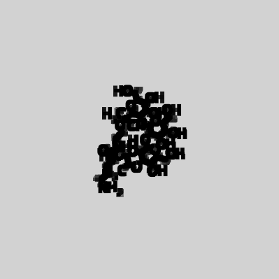 CCC(C)OC1C(O)[C@H](OC2C(O)[C@H](O)C(CO)O[C@@H]2OC2C(O)[C@H](O)C(CO)O[C@@H]2C(C)(C)OCCNC(=O)CCCCN)OC(CO)[C@H]1O